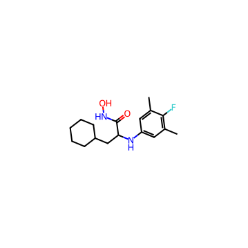 Cc1cc(NC(CC2CCCCC2)C(=O)NO)cc(C)c1F